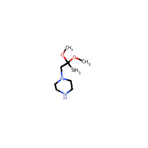 COC([SiH3])(CN1CCNCC1)OC